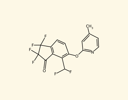 Cc1ccnc(Oc2ccc3c(c2C(F)F)C(=O)C(F)(F)C3(F)F)c1